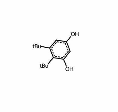 CC(C)(C)c1cc(O)cc(O)c1C(C)(C)C